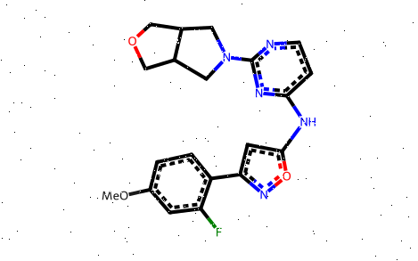 COc1ccc(-c2cc(Nc3ccnc(N4CC5COCC5C4)n3)on2)c(F)c1